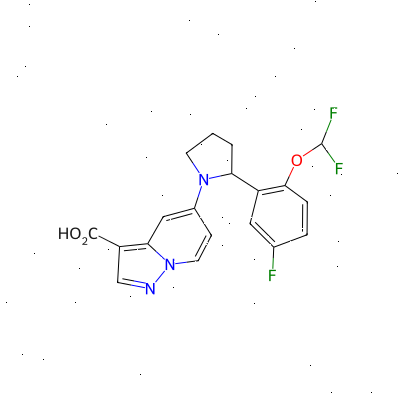 O=C(O)c1cnn2ccc(N3CCCC3c3cc(F)ccc3OC(F)F)cc12